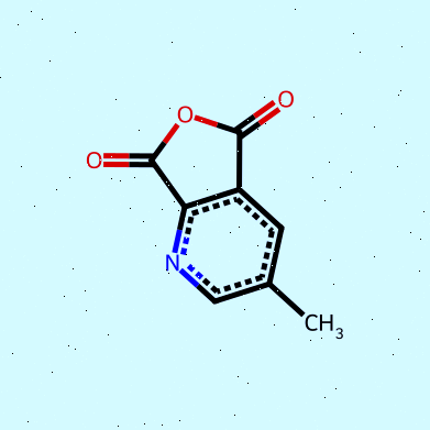 Cc1cnc2c(c1)C(=O)OC2=O